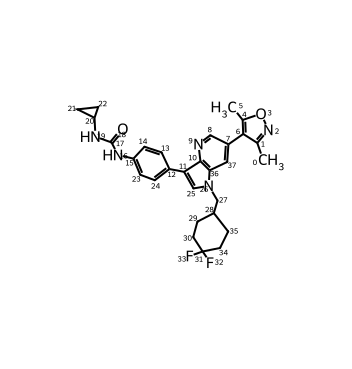 Cc1noc(C)c1-c1cnc2c(-c3ccc(NC(=O)NC4CC4)cc3)cn(CC3CCC(F)(F)CC3)c2c1